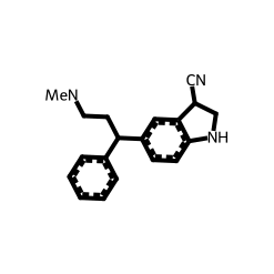 CNCCC(c1ccccc1)c1ccc2c(c1)C(C#N)CN2